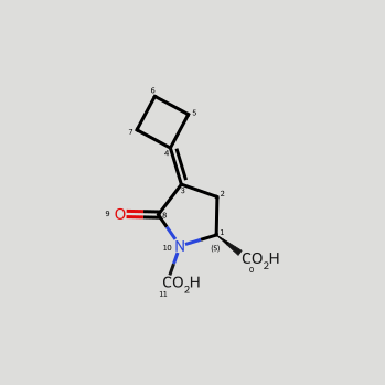 O=C(O)[C@@H]1CC(=C2CCC2)C(=O)N1C(=O)O